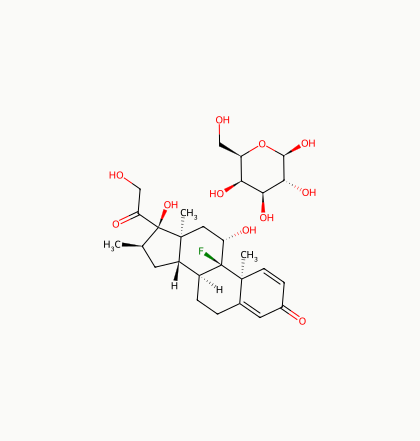 C[C@@H]1C[C@H]2[C@@H]3CCC4=CC(=O)C=C[C@]4(C)[C@@]3(F)[C@@H](O)C[C@]2(C)[C@@]1(O)C(=O)CO.OC[C@H]1O[C@@H](O)[C@H](O)[C@@H](O)[C@H]1O